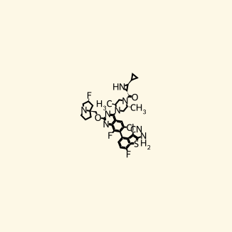 C[C@@H]1CN(c2nc(OC[C@@]34CCCN3C[C@H](F)C4)nc3c(F)c(-c4ccc(F)c5sc(N)c(C#N)c45)c(Cl)cc23)[C@@H](C)CN1C(=O)[C@@H]1N[C@H]1C1CC1